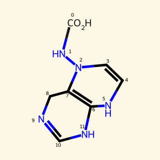 O=C(O)NN1C=CNC2=C1CN=CN2